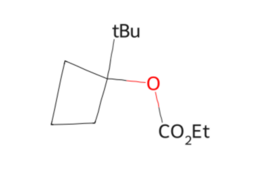 CCOC(=O)OC1(C(C)(C)C)CCC1